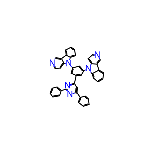 c1ccc(-c2cc(-c3cc(-n4c5ccccc5c5cnccc54)cc(-n4c5ccccc5c5cnccc54)c3)nc(-c3ccccc3)n2)cc1